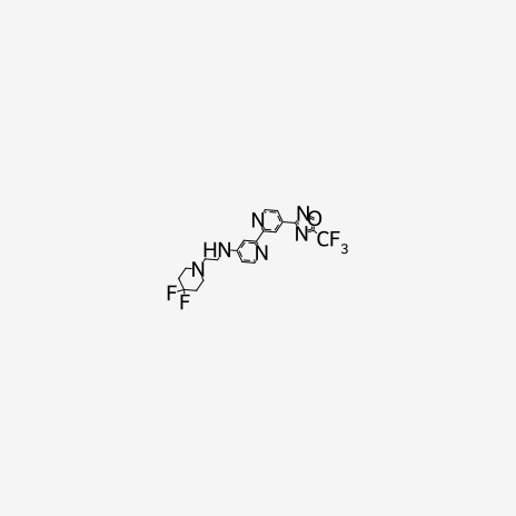 FC1(F)CCN(CCNc2ccnc(-c3cc(-c4noc(C(F)(F)F)n4)ccn3)c2)CC1